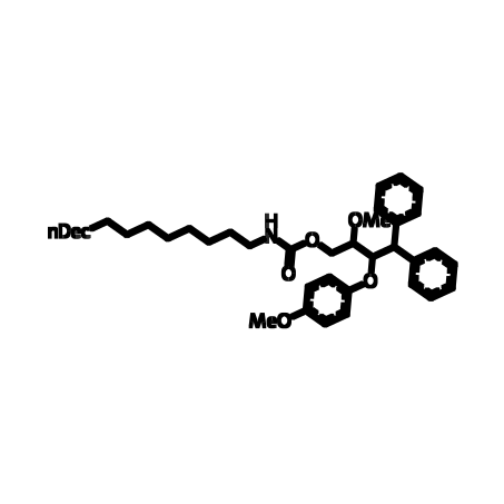 CCCCCCCCCCCCCCCCCCNC(=O)OCC(OC)C(Oc1ccc(OC)cc1)C(c1ccccc1)c1ccccc1